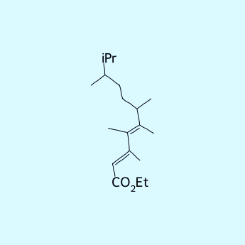 CCOC(=O)/C=C(C)/C(C)=C(\C)C(C)CCC(C)C(C)C